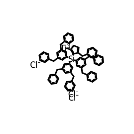 [Cl-].[Cl-].[Cl-].[Ti+3][C]1=C([Si](c2cc(Cc3ccccc3)cc(Cc3ccccc3)c2)(c2cc(Cc3ccccc3)cc(Cc3ccccc3)c2)c2cc(Cc3ccccc3)cc(Cc3ccccc3)c2)C(Cc2ccccc2)=CC1